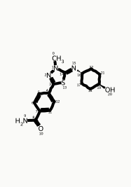 Cn1nc(-c2ccc(C(N)=O)cc2)sc1=N[C@H]1CC[C@H](O)CC1